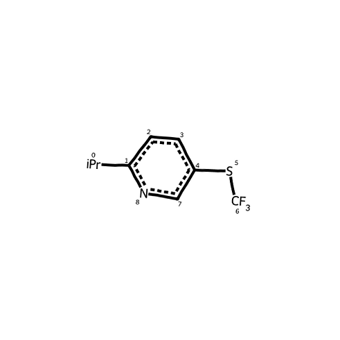 CC(C)c1ccc(SC(F)(F)F)cn1